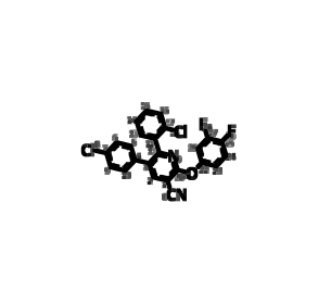 N#Cc1cc(-c2ccc(Cl)cc2)c(-c2ccccc2Cl)nc1Oc1ccc(F)c(F)c1